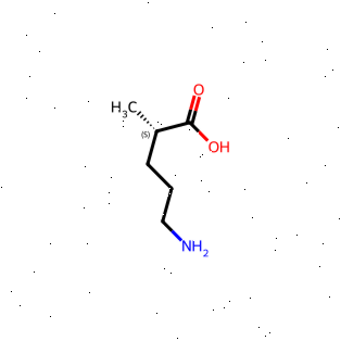 C[C@@H](CCCN)C(=O)O